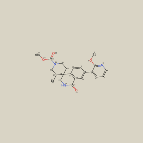 CCOc1ncccc1-c1ccc2c(c1)C(=O)NCC21CCN(C(=O)OC(C)(C)C)CC1CC